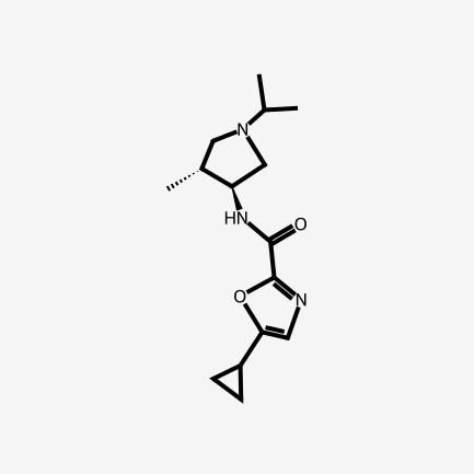 CC(C)N1C[C@@H](C)[C@H](NC(=O)c2ncc(C3CC3)o2)C1